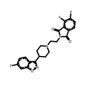 O=C1c2ccc(F)c(F)c2C(=O)N1CCN1CCC(c2noc3cc(F)ccc23)CC1